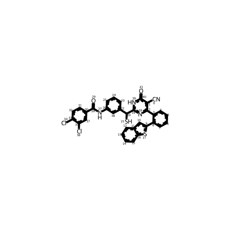 N#Cc1c(-c2ccccc2-c2cc3ccccc3s2)nc(C(S)c2cccc(NC(=O)c3ccc(Cl)c(Cl)c3)c2)[nH]c1=O